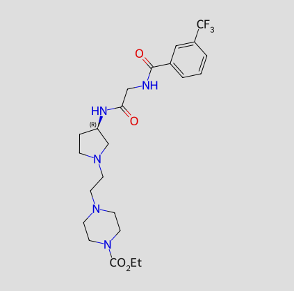 CCOC(=O)N1CCN(CCN2CC[C@@H](NC(=O)CNC(=O)c3cccc(C(F)(F)F)c3)C2)CC1